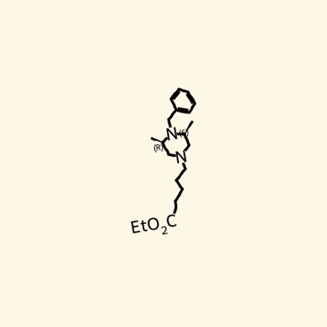 CCOC(=O)CCCCCN1C[C@@H](C)N(Cc2ccccc2)[C@@H](C)C1